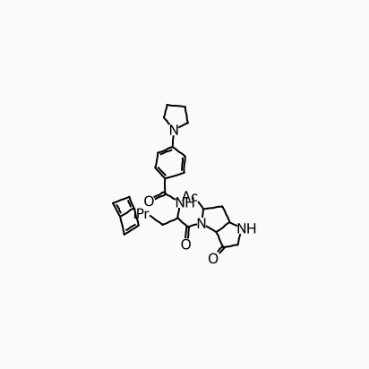 CC(=O)C1CC2NCC(=O)C2N1C(=O)C(CC(C)C)NC(=O)c1ccc(N2CCCC2)cc1.c1cc2ccc1-2